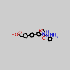 Nc1ccccc1NC(=O)N1CCOc2cc(-c3ccc(C4CCC(CC(=O)O)CC4)cc3)ccc21